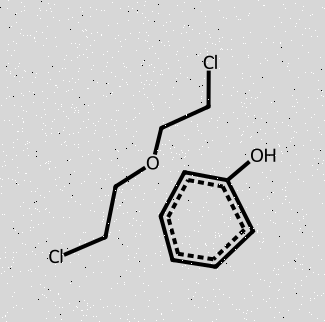 ClCCOCCCl.Oc1ccccc1